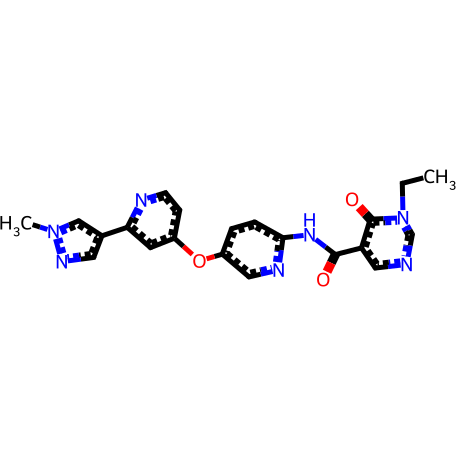 CCn1cncc(C(=O)Nc2ccc(Oc3ccnc(-c4cnn(C)c4)c3)cn2)c1=O